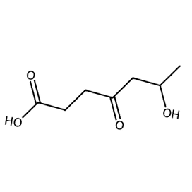 CC(O)CC(=O)CCC(=O)O